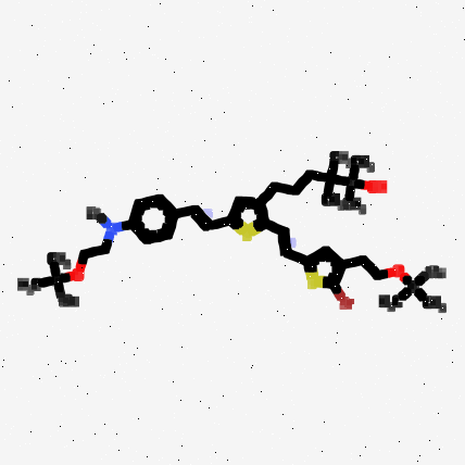 CCN(CCO[Si](C)(C)C(C)(C)C)c1ccc(/C=C/c2cc(CCCC(C)(C)[Si](C)(C)O)c(/C=C/c3cc(CCO[Si](C)(C)C(C)(C)C)c(Br)s3)s2)cc1